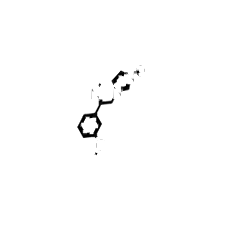 CN=C(Cn1cc[n+]([O-])c1)c1cccc(OC)c1